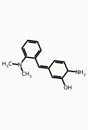 CN(C)c1ccccc1/C=C1\C=CC(N)C(O)=C1